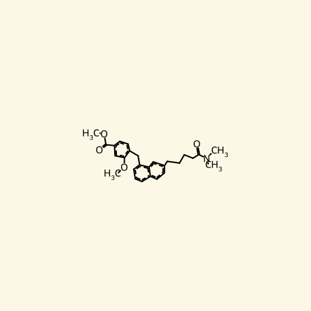 COC(=O)c1ccc(Cc2cccc3ccc(CCCCC(=O)N(C)C)cc23)c(OC)c1